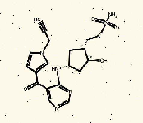 C#CCn1ccc(C(=O)c2cncnc2N[C@@H]2C[C@H](COS(N)(=O)=O)[C@@H](O)C2)c1